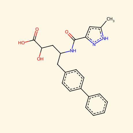 Cc1cc(C(=O)NC(Cc2ccc(-c3ccccc3)cc2)CC(O)C(=O)O)n[nH]1